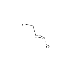 [O]C=CCI